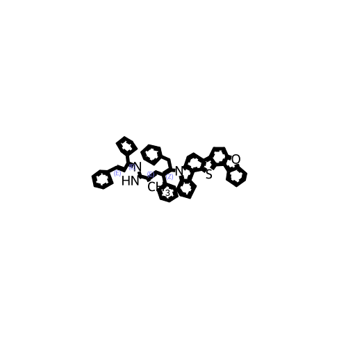 C/C(=C\C(=C(/Cc1ccccc1)n1c2ccccc2c2c3sc4c(ccc5oc6ccccc6c54)c3ccc21)c1ccccc1)C(=N)/N=C(\C=C\c1ccccc1)c1ccccc1